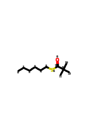 CCCCC[CH]SC(=O)C(C)(C)C